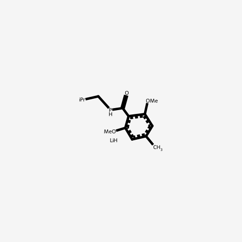 COc1cc(C)cc(OC)c1C(=O)PCC(C)C.[LiH]